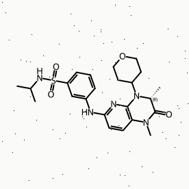 CC(C)NS(=O)(=O)c1cccc(Nc2ccc3c(n2)N(C2CCOCC2)[C@H](C)C(=O)N3C)c1